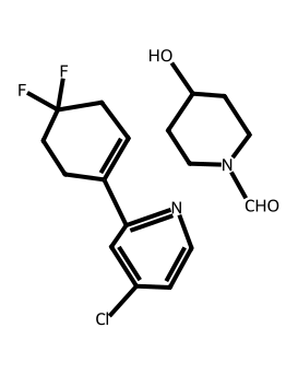 FC1(F)CC=C(c2cc(Cl)ccn2)CC1.O=CN1CCC(O)CC1